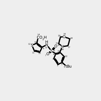 CC(C)(C)c1ccc(S(=O)(=O)Nc2ccsc2C(=O)O)c(N2CCOCC2)c1